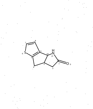 O=C1CC2Cc3sccc3C2N1